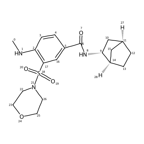 CNc1ccc(C(=O)N[C@@H]2C[C@H]3CC[C@@H]2C3)cc1S(=O)(=O)N1CCOCC1